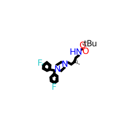 C[C@@H](CCNC(=O)OC(C)(C)C)CCN1CCN(C(c2ccc(F)cc2)c2ccc(F)cc2)CC1